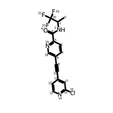 CC(NC(=O)c1ccc(C#Cc2ccnc(Cl)c2)cn1)C(F)(F)F